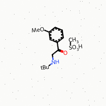 COc1cccc(C(=O)CNC(C)(C)C)c1.CS(=O)(=O)O